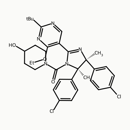 CCOc1nc(C(C)(C)C)ncc1C1=N[C@@](C)(c2ccc(Cl)cc2)[C@@](C)(c2ccc(Cl)cc2)N1C(=O)N1CCC(O)CC1